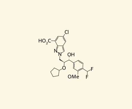 COc1cc([C@@H](O)[C@H](Cn2cc3cc(Cl)cc(C(=O)O)c3n2)OC2CCCC2)ccc1C(F)F